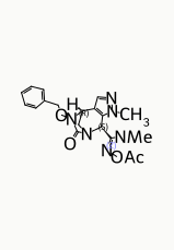 CN/C(=N\OC(C)=O)[C@@H]1c2c(cnn2C)[C@@H]2CN1C(=O)N2OCc1ccccc1